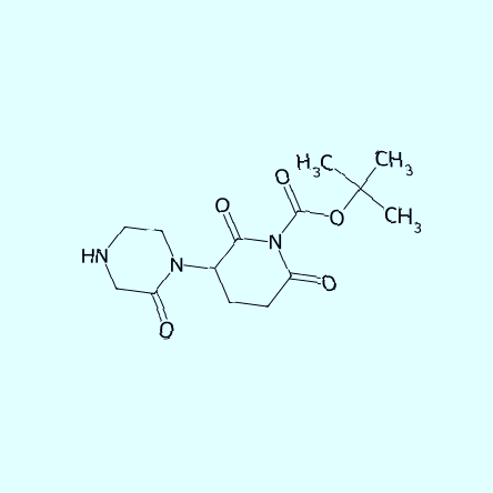 CC(C)(C)OC(=O)N1C(=O)CCC(N2CCNCC2=O)C1=O